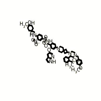 COc1ccc(CN2CCN(C3CC4(CCN(c5ccc(C(=O)NS(=O)(=O)c6ccc(NCC7(F)CCC(C)(O)CC7)c([N+](=O)[O-])c6)c(Oc6cnc7[nH]ccc7c6)c5)CC4)C3)C(c3ccccc3C(C)C)C2)cc1